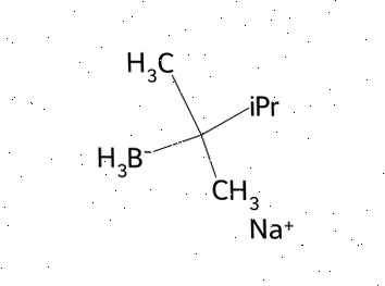 [BH3-]C(C)(C)C(C)C.[Na+]